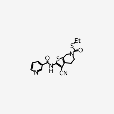 CCSC(=O)N1CCc2c(sc(NC(=O)c3cccnc3)c2C#N)C1